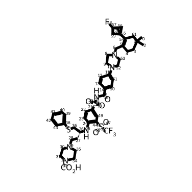 CC1(C)CCC(CN2CCN(c3ccc(C(=O)NS(=O)(=O)c4ccc(N[C@H](CCN5CCN(C(=O)O)CC5)CSc5ccccc5)c(S(=O)(=O)C(F)(F)F)c4)cc3)CC2)=C(C23CC(F)(C2)C3)C1